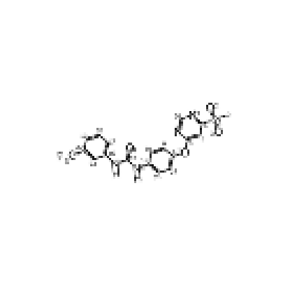 CS(=O)(=O)c1cc(Oc2ccc(NC(=O)Nc3cccc(C(F)(F)F)c3)cc2)ncn1